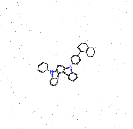 C1=CCC(n2c3ccccc3c3c4c5ccccc5n(-c5ccc(C6=CCCC7=C6CCCC7)cc5)c4ccc32)C=C1